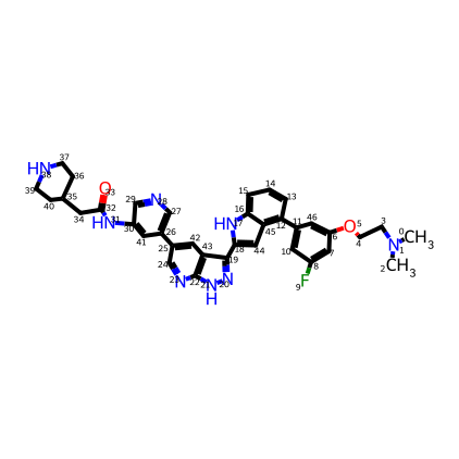 CN(C)CCOc1cc(F)cc(-c2cccc3[nH]c(-c4n[nH]c5ncc(-c6cncc(NC(=O)CC7CCNCC7)c6)cc45)cc23)c1